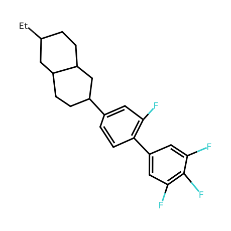 CCC1CCC2CC(c3ccc(-c4cc(F)c(F)c(F)c4)c(F)c3)CCC2C1